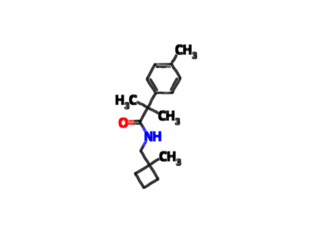 Cc1ccc(C(C)(C)C(=O)NCC2(C)CCC2)cc1